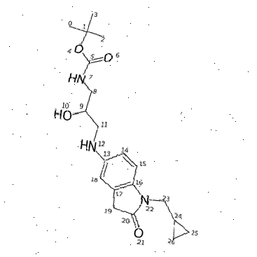 CC(C)(C)OC(=O)NCC(O)CNc1ccc2c(c1)CC(=O)N2CC1CC1